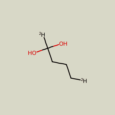 [2H]CCCC([2H])(O)O